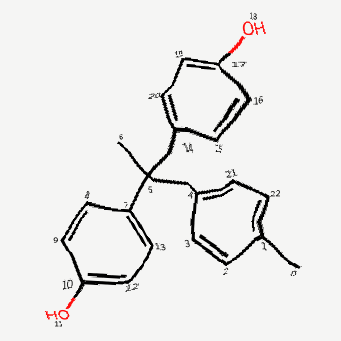 Cc1ccc(C(C)(c2ccc(O)cc2)c2ccc(O)cc2)cc1